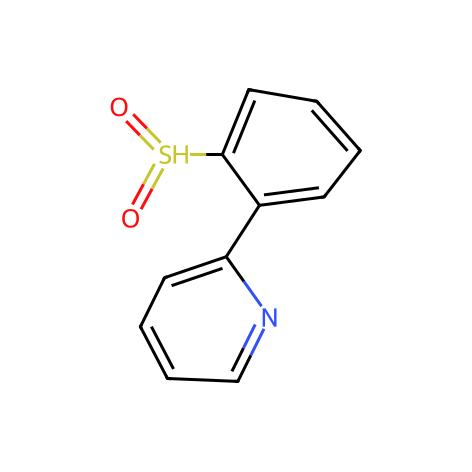 O=[SH](=O)c1ccccc1-c1ccccn1